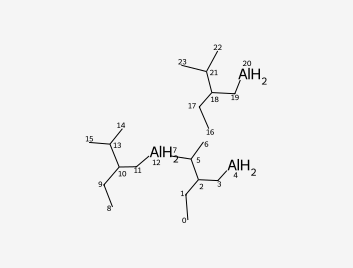 CCC([CH2][AlH2])C(C)C.CCC([CH2][AlH2])C(C)C.CCC([CH2][AlH2])C(C)C